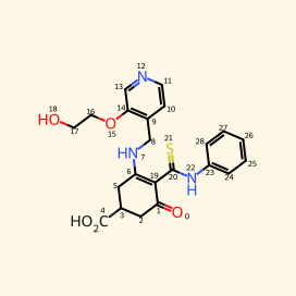 O=C1CC(C(=O)O)CC(NCc2ccncc2OCCO)=C1C(=S)Nc1ccccc1